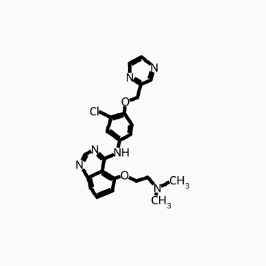 CN(C)CCOc1cccc2ncnc(Nc3ccc(OCc4cnccn4)c(Cl)c3)c12